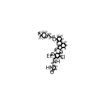 CCOc1cc(O[C@@H]2c3cccc(-c4cccc(OCCCN5CCC(C)(F)CC5)c4C)c3C[C@@H]2F)c(Cl)cc1CNC[C@@H]1CCC(=O)N1